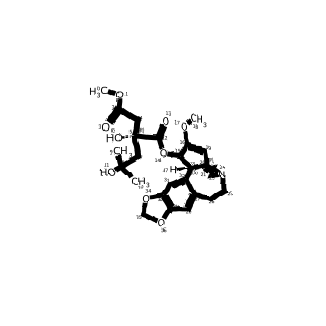 COC(=O)C[C@](O)(CC(C)(C)O)C(=O)OC1C(OC)=C[C@]23CCCN2CCc2cc4c(cc2[C@H]13)OCO4